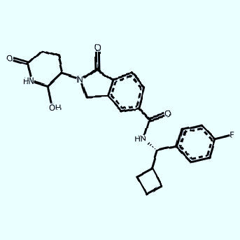 O=C1CCC(N2Cc3cc(C(=O)N[C@H](c4ccc(F)cc4)C4CCC4)ccc3C2=O)C(O)N1